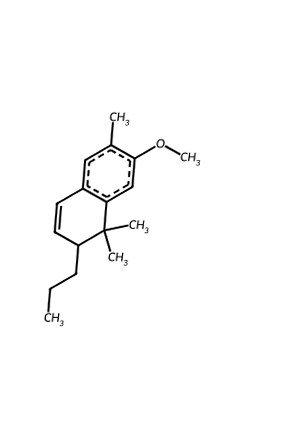 CCCC1C=Cc2cc(C)c(OC)cc2C1(C)C